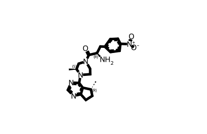 C[C@@H]1CCc2ncnc(N3CCN(C(=O)[C@H](N)Cc4ccc([N+](=O)[O-])cc4)C[C@@H]3C)c21